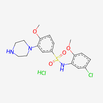 COc1ccc(Cl)cc1NS(=O)(=O)c1ccc(OC)c(N2CCNCC2)c1.Cl